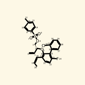 C=C[C@H](COS(=O)(=O)c1ccc(C)cc1)Oc1c(/C=C\C)ccc(F)c1-c1ccccc1Cl